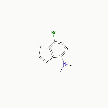 CN(C)c1ccc(Br)c2c1C=CC2